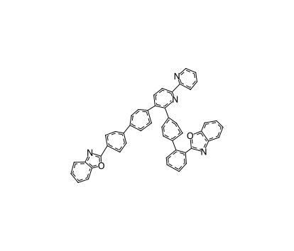 c1ccc(-c2ccc(-c3ccc(-c4ccc(-c5nc6ccccc6o5)cc4)cc3)c(-c3ccc(-c4ccccc4-c4nc5ccccc5o4)cc3)n2)nc1